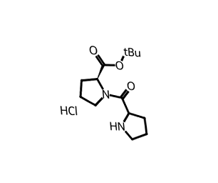 CC(C)(C)OC(=O)[C@@H]1CCCN1C(=O)C1CCCN1.Cl